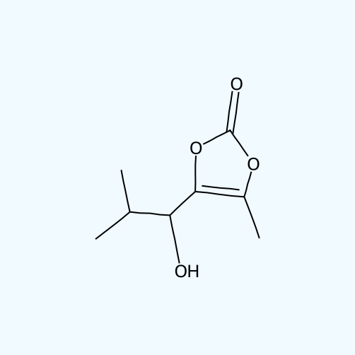 Cc1oc(=O)oc1C(O)C(C)C